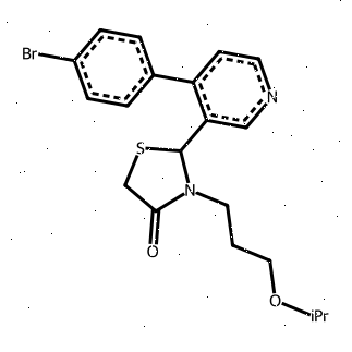 CC(C)OCCCN1C(=O)CSC1c1cnccc1-c1ccc(Br)cc1